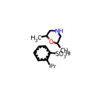 CC(C)c1ccccc1S(=O)(=O)O.CC1CNCC(C)O1